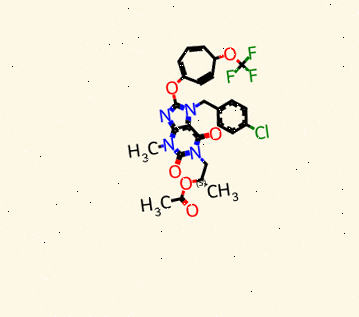 CC(=O)O[C@@H](C)Cn1c(=O)c2c(nc(OC3=CC=CC(OC(F)(F)F)C#C3)n2Cc2ccc(Cl)cc2)n(C)c1=O